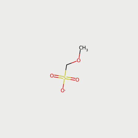 COCS([O])(=O)=O